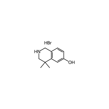 Br.CC1(C)CNCc2ccc(O)cc21